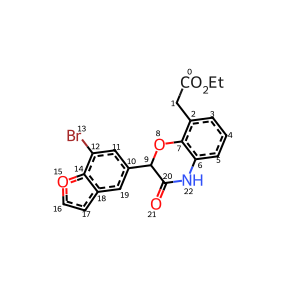 CCOC(=O)Cc1cccc2c1OC(c1cc(Br)c3occc3c1)C(=O)N2